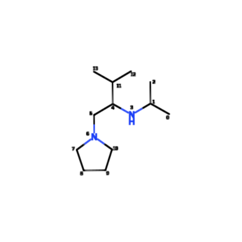 CC(C)NC(CN1CCCC1)C(C)C